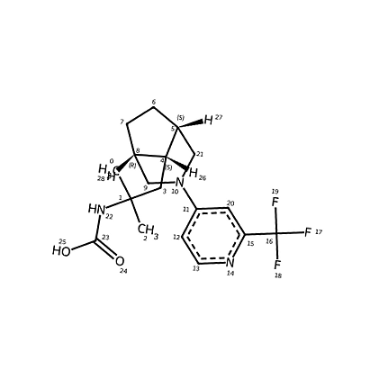 CC(C)(C[C@H]1[C@@H]2CC[C@H]1CN(c1ccnc(C(F)(F)F)c1)C2)NC(=O)O